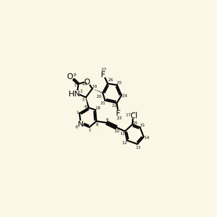 O=C1N[C@H](c2cncc(C#Cc3ccccc3Cl)c2)[C@@H](c2cc(F)ccc2F)O1